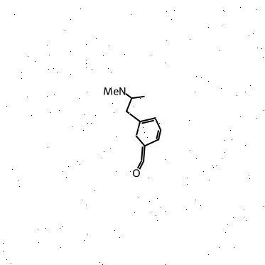 CNC(C)CC1=CC=CC(=C=O)C1